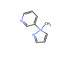 C[N+]1(c2cc[c]nc2)C=CC=N1